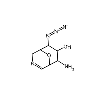 [N-]=[N+]=NC1C2CN=CC(O2)C(N)C1O